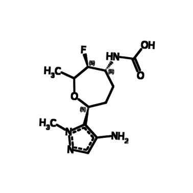 CC1O[C@H](c2c(N)cnn2C)CC[C@@H](NC(=O)O)[C@@H]1F